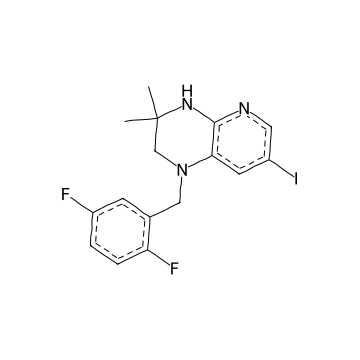 CC1(C)CN(Cc2cc(F)ccc2F)c2cc(I)cnc2N1